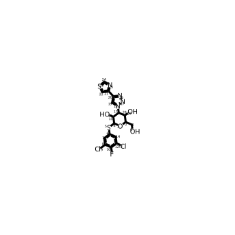 OCC1OC(Sc2cc(Cl)c(F)c(Cl)c2)C(O)C(n2cc(-c3cscn3)nn2)C1O